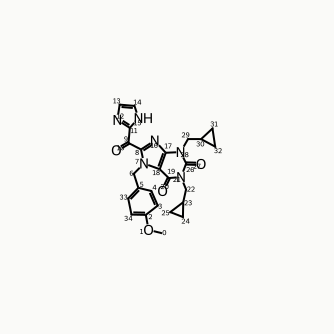 COc1ccc(Cn2c(C(=O)c3ncc[nH]3)nc3c2c(=O)n(CC2CC2)c(=O)n3CC2CC2)cc1